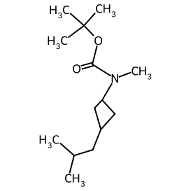 CC(C)CC1CC(N(C)C(=O)OC(C)(C)C)C1